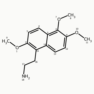 COc1ccc2c(OC)c(OC)ccc2c1CCN